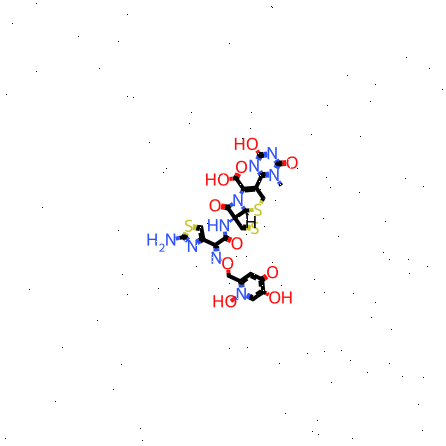 Cn1c(C2=C(C(=O)O)N3C(=O)[C@](C=S)(NC(=O)/C(=N\OCc4cc(=O)c(O)cn4O)c4csc(N)n4)[C@H]3SC2)nc(O)nc1=O